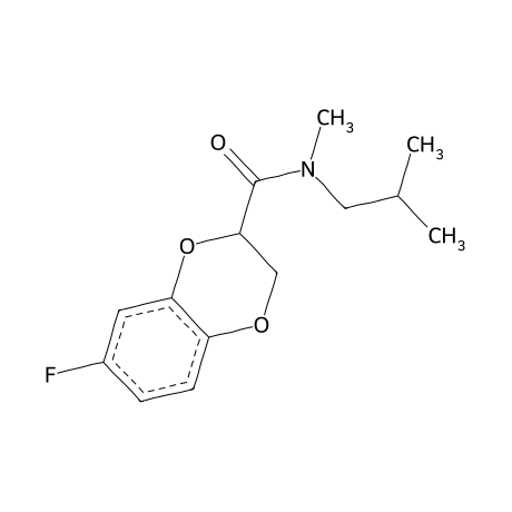 CC(C)CN(C)C(=O)C1COc2ccc(F)cc2O1